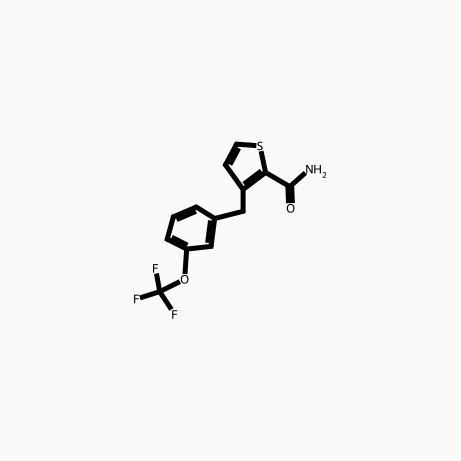 NC(=O)c1sccc1Cc1cccc(OC(F)(F)F)c1